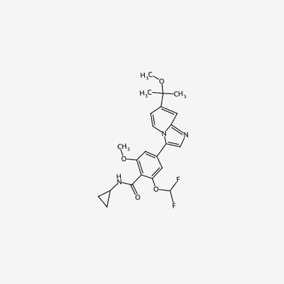 COc1cc(-c2cnc3cc(C(C)(C)OC)ccn23)cc(OC(F)F)c1C(=O)NC1CC1